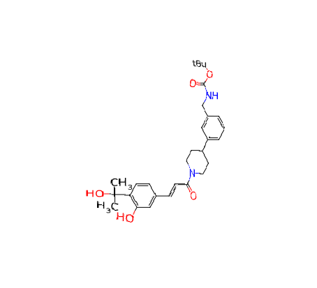 CC(C)(C)OC(=O)NCc1cccc(C2CCN(C(=O)/C=C/c3ccc(C(C)(C)O)c(O)c3)CC2)c1